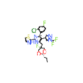 CCC[C@H]1OC[C@@](F)(CC2=C(c3cnn(C(F)F)c3)[C@H](c3ccc(F)cc3Cl)N=C(c3nccs3)N2)CO1